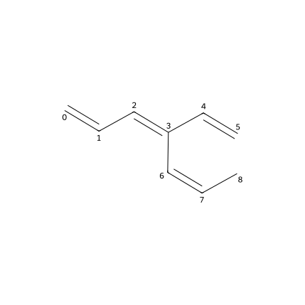 C=C/C=C(C=C)\C=C/C